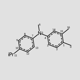 Cc1ccc(N(C)c2ccc(C(C)C)cc2)cc1C